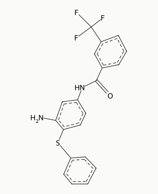 Nc1cc(NC(=O)c2cccc(C(F)(F)F)c2)ccc1Sc1ccccc1